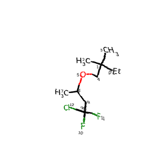 CCC(C)(C)COC(C)CC(F)(F)Cl